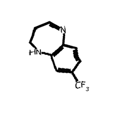 FC(F)(F)c1ccc2c(c1)NCCC=N2